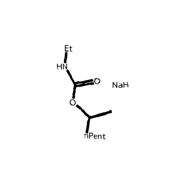 CCCCCC(C)OC(=O)NCC.[NaH]